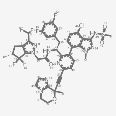 C[C@@H]1Cc2c(C(F)F)nn(CC(=O)N[C@@H](Cc3cc(F)cc(F)c3)c3nc(C#CC4(C)OCCn5ccnc54)ccc3-c3ccc(Cl)c4c(NS(C)(=O)=O)nn(C)c34)c2C1(F)F